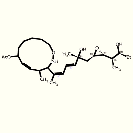 CC[C@H](O)[C@@H](C)[C@H]1O[C@@H]1C[C@@](C)(O)/C=C/C=C(/C)C1NOCCCCCC(OC(C)=O)C=CC1C